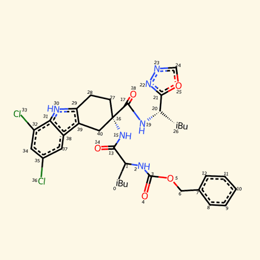 CCC(C)C(NC(=O)OCc1ccccc1)C(=O)N[C@@]1(C(=O)N[C@H](c2nnco2)[C@@H](C)CC)CCc2[nH]c3c(Cl)cc(Cl)cc3c2C1